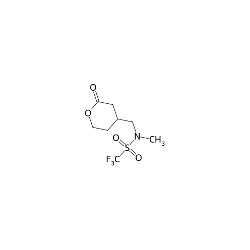 CN(CC1CCOC(=O)C1)S(=O)(=O)C(F)(F)F